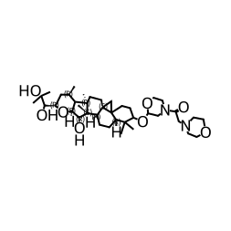 C[C@@H]1C[C@H](C(O)C(C)(C)O)O[C@H]2C1[C@@]1(C)CC[C@@]34CC35CCC(OC3CN(C(=O)CN6CCOCC6)CCO3)C(C)(C)[C@@H]5CC[C@H]4[C@]1(C)[C@H]2O